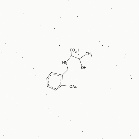 CC(=O)Oc1ccccc1CNC(C(=O)O)C(C)O